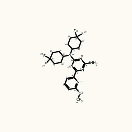 Nc1nc(-c2cccc(OC(F)(F)F)n2)nc(N(C2CCC(F)(F)CC2)C2CCC(F)(F)CC2)n1